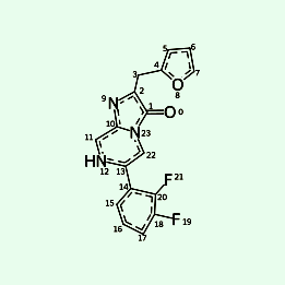 O=c1c(Cc2ccco2)nc2c[nH]c(-c3cccc(F)c3F)cn1-2